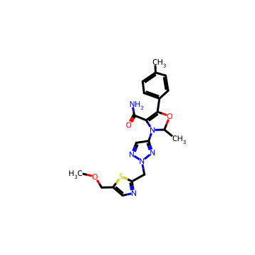 COCc1cnc(Cn2ncc(N3C(C(N)=O)=C(c4ccc(C)cc4)OC3C)n2)s1